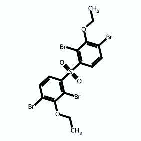 CCOc1c(Br)ccc(S(=O)(=O)c2ccc(Br)c(OCC)c2Br)c1Br